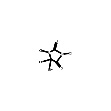 CCCC1(CC)C(=O)N(Cl)C(=O)N1Cl